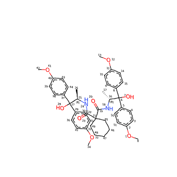 COc1ccc(C(O)(c2ccc(OC)cc2)[C@@H](C)NC(=O)C2(C(=O)N[C@H](C)C(O)(c3ccc(OC)cc3)c3ccc(OC)cc3)CCCCC2)cc1